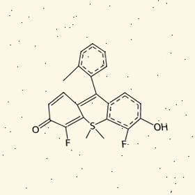 Cc1ccccc1C1=C2C=CC(=O)C(F)=C2S(C)(C)c2c1ccc(O)c2F